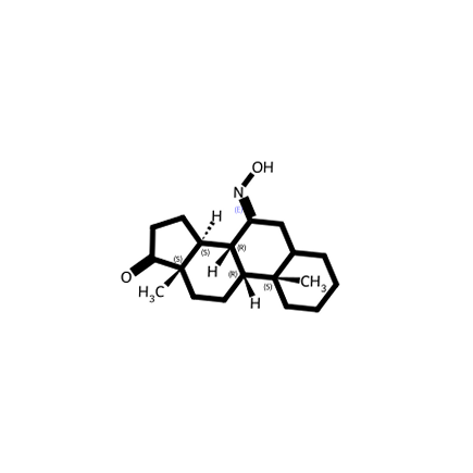 C[C@]12CCCCC1C/C(=N\O)[C@@H]1[C@H]2CC[C@]2(C)C(=O)CC[C@@H]12